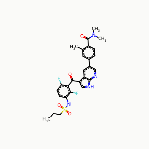 CCCS(=O)(=O)Nc1ccc(F)c(C(=O)c2c[nH]c3ncc(-c4ccc(C(=O)N(C)C)c(C)c4)cc23)c1F